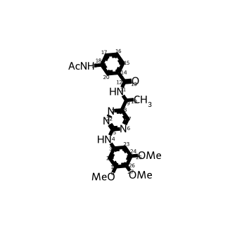 COc1cc(Nc2ncc(C(C)NC(=O)c3cccc(NC(C)=O)c3)nn2)cc(OC)c1OC